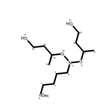 CCCCCCCCCCCCCCN(OC(C)CCO)OC(C)CCO